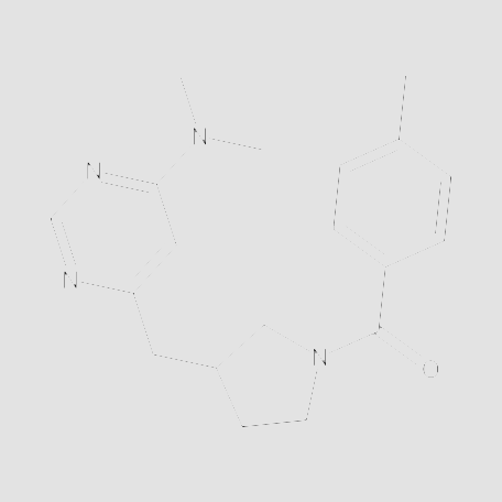 Cc1ccc(C(=O)N2CCC(Cc3cc(N(C)C)ncn3)C2)cc1